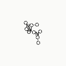 c1ccc(-c2ccc(N(c3ccccc3)c3ccc(-c4nc5c(N(c6ccccc6)c6ccc(-c7ccccc7)cc6)cccc5o4)cc3)cc2)cc1